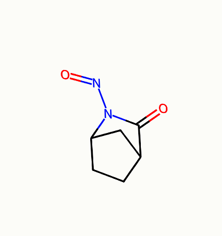 O=NN1C(=O)C2CCC1C2